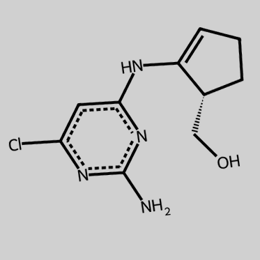 Nc1nc(Cl)cc(NC2=CCC[C@@H]2CO)n1